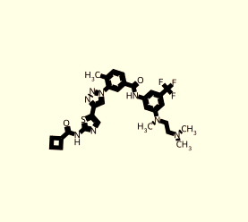 Cc1ccc(C(=O)Nc2cc(N(C)CCN(C)C)cc(C(F)(F)F)c2)cc1-n1cc(-c2cnc(NC(=O)C3CCC3)s2)nn1